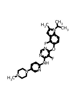 Cc1cc2c(F)c(Oc3ncnc(Nc4ccc(N5CCN(C)CC5)cn4)c3F)ccc2n1C(C)C